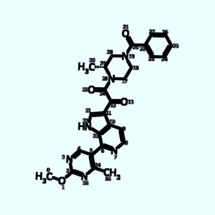 COc1ncc(-c2nccc3c(C(=O)C(=O)N4CCN(C(=O)c5ccccc5)C[C@H]4C)c[nH]c23)c(C)n1